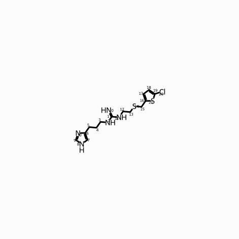 N=C(NCCCc1c[nH]cn1)NCCSCc1ccc(Cl)s1